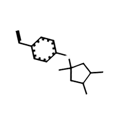 C=Cc1ccc(OC2(C)CC(C)C(C)C2)cc1